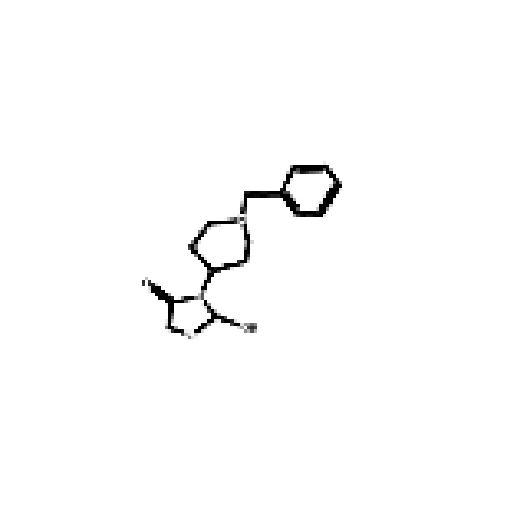 O=C1COC(O)N1C1CCN(Cc2ccccc2)CC1